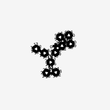 CC1(C)c2cc(N(c3ccc(-c4ccccc4)cc3)c3ccc(-n4c5ccccc5c5ccccc54)cc3)ccc2-c2ccc([Si](c3ccccc3)(c3ccccc3)c3ccccc3)cc21